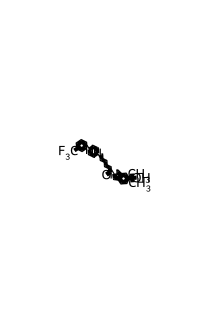 CC(C)(O)c1ccc2cn(C(=O)CCCCCN3CCN(c4cccc(C(F)(F)F)c4)CC3)cc2c1